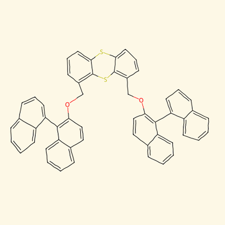 c1cc(COc2ccc3ccccc3c2-c2cccc3ccccc23)c2c(c1)Sc1cccc(COc3ccc4ccccc4c3-c3cccc4ccccc34)c1S2